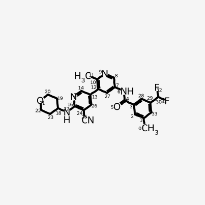 Cc1cc(C(=O)Nc2cnc(C)c(-c3cnc(NC4CCOCC4)c(C#N)c3)c2)cc(C(F)F)c1